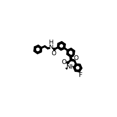 CNC(=O)c1c(-c2ccc(F)cc2)oc2ccc(-c3cccc(C(=O)NCCc4ccccc4)c3)cc12